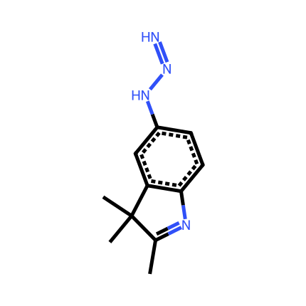 CC1=Nc2ccc(NN=N)cc2C1(C)C